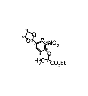 CCOC(=O)C(C)Oc1ccc(C2OCCO2)cc1[N+](=O)[O-]